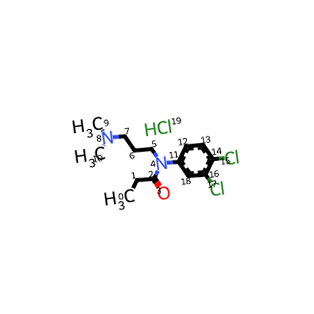 CCC(=O)N(CCCN(C)C)c1ccc(Cl)c(Cl)c1.Cl